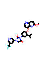 COc1ccc2nccc(Oc3ccc(N4C(=O)CN(c5cncc(C(F)(F)F)c5)C4=O)cc3C(C)C)c2n1